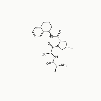 C[C@H]1C[C@@H](C(=O)N[C@@H]2CCCc3ccccc32)N(C(=O)[C@@H](NC(=O)[C@H](C)N)C(C)(C)C)C1